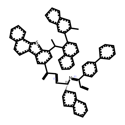 C=C/C(=N\[C@@H](/C=C/C(=C)c1cc(C(C)c2c(-c3cc4ccccc4cc3C)ccc3ccccc23)c2sc3c4ccccc4ccc3c2c1)c1ccc2ccccc2c1)c1ccc(-c2ccccc2)cc1